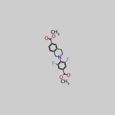 COC(=O)c1cc(F)c(N2CCc3cc(C(=O)OC)ccc3C2)c(F)c1